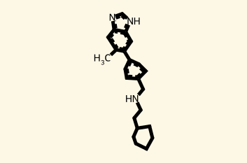 Cc1cc2nc[nH]c2cc1-c1ccc(CNCCC2CCCCC2)cc1